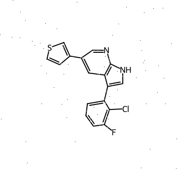 Fc1cccc(-c2c[nH]c3ncc(-c4ccsc4)cc23)c1Cl